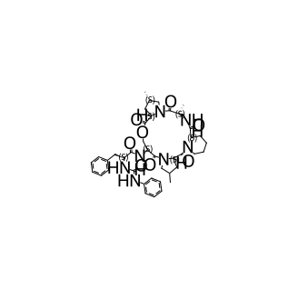 CC1C[C@H]2C(=O)N3CCCC[C@H]3C(=O)N[C@@H](C)C(=O)N3C[C@@H](C)C[C@H]3C(=O)OC[C@H](NC(=O)[C@H](Cc3ccccc3)NC(=O)Nc3ccccc3)C(=O)N2C1